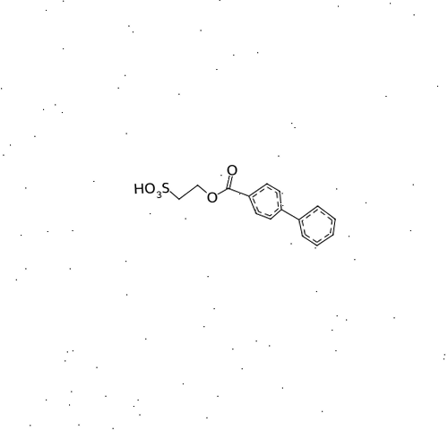 O=C(OCCS(=O)(=O)O)c1ccc(-c2ccccc2)cc1